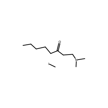 CCCCCC(=O)CCN(C)C.CI